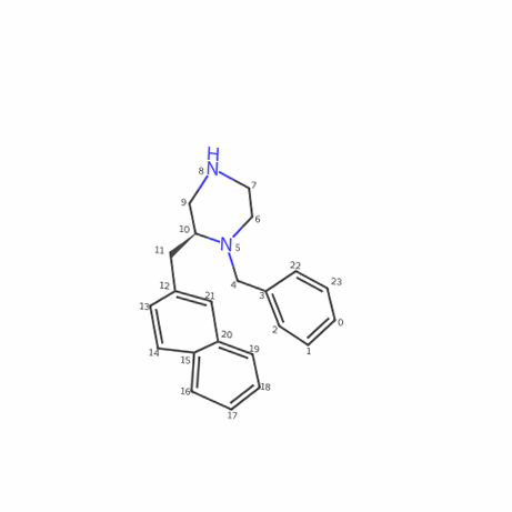 c1ccc(CN2CCNC[C@@H]2Cc2ccc3ccccc3c2)cc1